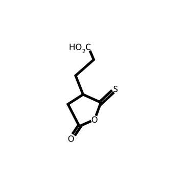 O=C(O)CCC1CC(=O)OC1=S